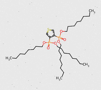 CCCCCCCCOP(=O)(OCCCCCCCC)c1cscc1P(=O)(OCCCCCCCC)OCCCCCCCC